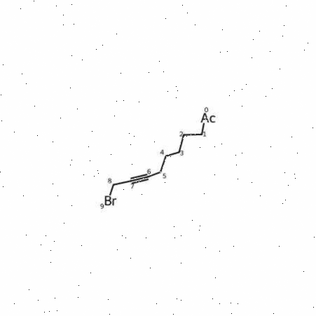 CC(=O)CCCCCC#CCBr